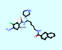 COc1cc(N)c(Cl)cc1C(=O)NC(CCCCNC(=O)c1ccc2ccccc2c1)[C@@H]1CCNC1